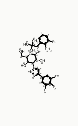 Cc1c(F)cccc1[C@H](S[C@@H]1O[C@H](CO)[C@H](O)[C@H](n2cc(-c3cc(F)c(F)c(F)c3)nn2)[C@H]1O)C(C)(C)O